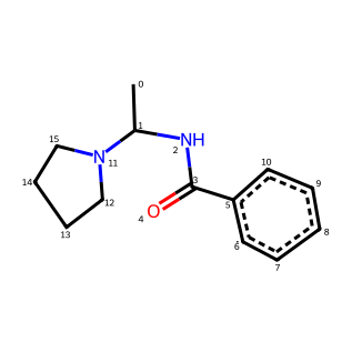 CC(NC(=O)c1[c]cccc1)N1CCCC1